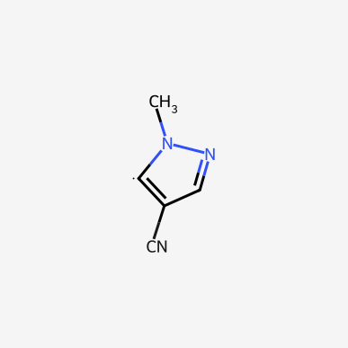 Cn1[c]c(C#N)cn1